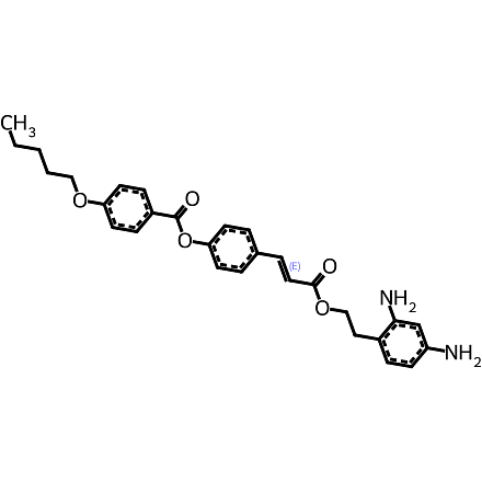 CCCCCOc1ccc(C(=O)Oc2ccc(/C=C/C(=O)OCCc3ccc(N)cc3N)cc2)cc1